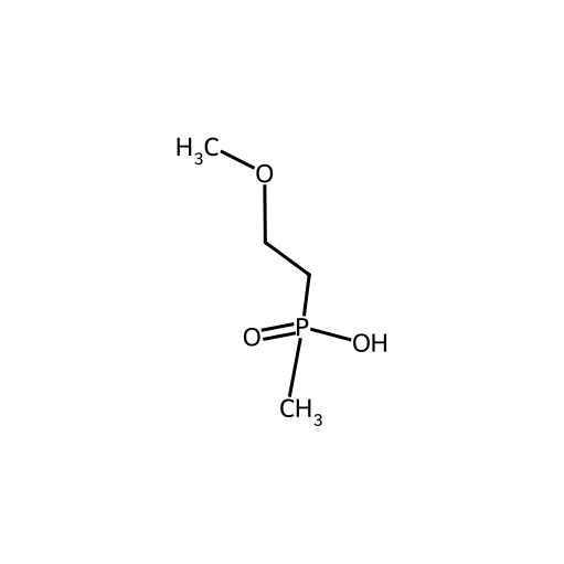 COCCP(C)(=O)O